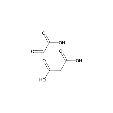 O=C(O)CC(=O)O.O=CC(=O)O